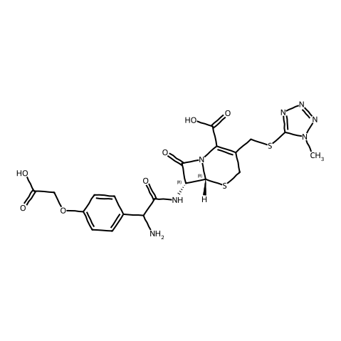 Cn1nnnc1SCC1=C(C(=O)O)N2C(=O)[C@@H](NC(=O)C(N)c3ccc(OCC(=O)O)cc3)[C@H]2SC1